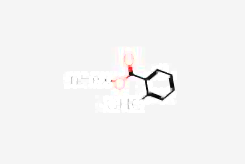 CCCCCCOC(=O)c1ccccc1[C]=O